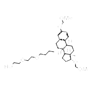 COCOc1ccc2c(c1)C[C@@H](CCCCOCCOCCO)[C@@H]1[C@@H]2CC[C@]2(C)[C@@H](OCOC)CC[C@@H]12